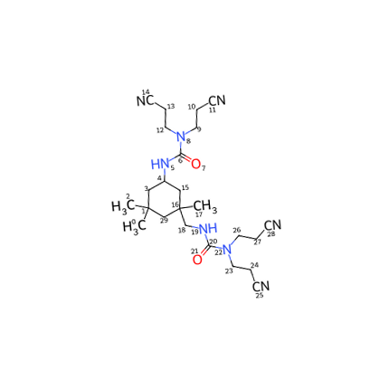 CC1(C)CC(NC(=O)N(CCC#N)CCC#N)CC(C)(CNC(=O)N(CCC#N)CCC#N)C1